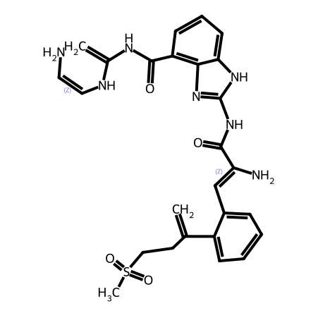 C=C(N/C=C\N)NC(=O)c1cccc2[nH]c(NC(=O)/C(N)=C/c3ccccc3C(=C)CCS(C)(=O)=O)nc12